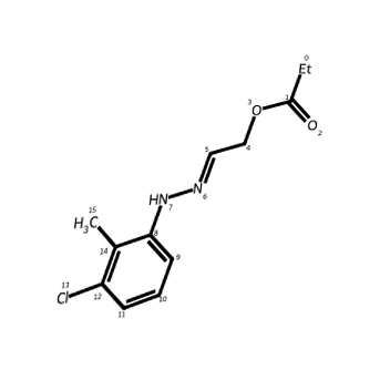 CCC(=O)OCC=NNc1cccc(Cl)c1C